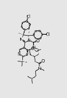 CCOc1cc(C(C)(C)C)ncc1C1=N[C@@](C)(c2ccc(Cl)cc2)[C@@](C)(c2ccc(Cl)cc2)N1C(=O)N1CCC(CC(=O)N(C)CCC(C)C)CC1